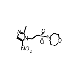 Cc1ncc([N+](=O)[O-])n1CCS(=O)(=O)N1CCOCC1